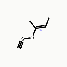 C#SO/C(C)=C/C